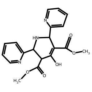 COC(=O)C1=C(O)C(C(=O)OC)C(c2ccccn2)NC1c1ccccn1